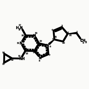 CC[C@@H]1C=C[C@H](n2cnc3c(NC4CC4)nc(N)nc32)C1